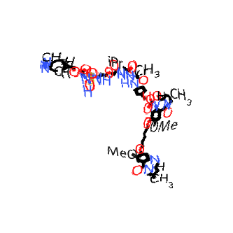 COc1cc2c(cc1OCCCCCOc1cc3c(cc1OC)C(=O)N1C=C(C)C[C@H]1[C@H](O)N3C(=O)OCc1ccc(NC(=O)[C@H](C)NC(=O)[C@@H](NC(=O)COCCNS(=O)(=O)NC(=O)OCC3[C@H]4CCc5c(nnn5C)CC[C@@H]34)C(C)C)cc1)N=C[C@@H]1CC(C)=CN1C2=O